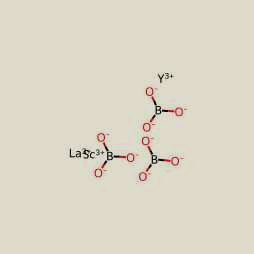 [La+3].[O-]B([O-])[O-].[O-]B([O-])[O-].[O-]B([O-])[O-].[Sc+3].[Y+3]